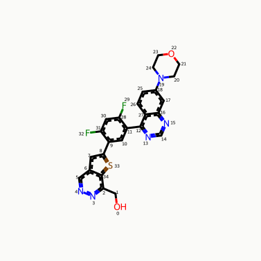 OCc1nncc2cc(-c3cc(-c4ncnc5cc(N6CCOCC6)ccc45)c(F)cc3F)sc12